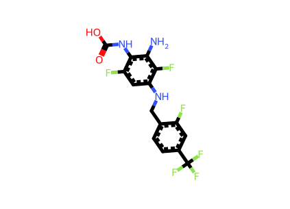 Nc1c(F)c(NCc2ccc(C(F)(F)F)cc2F)cc(F)c1NC(=O)O